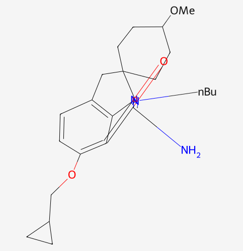 CCCCN1C(=O)C2(N=C1N)c1cc(OCC3CC3)ccc1CC21CCC(OC)CC1